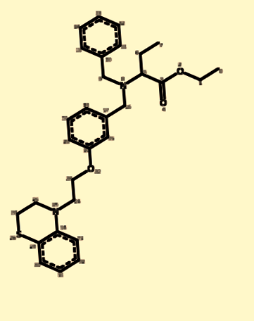 CCOC(=O)C(CC)N(Cc1ccccc1)Cc1cccc(OCCN2CCSc3ccccc32)c1